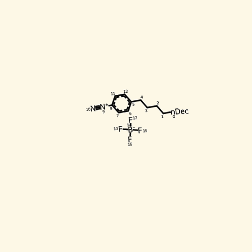 CCCCCCCCCCCCCCc1ccc([N+]#N)cc1.F[B-](F)(F)F